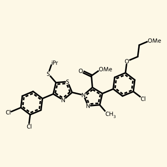 COCCOc1cc(Cl)cc(-c2c(C)nn(-c3nc(-c4ccc(Cl)c(Cl)c4)c(SC(C)C)s3)c2C(=O)OC)c1